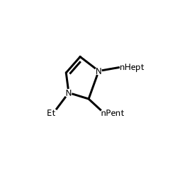 CCCCCCCN1C=CN(CC)C1CCCCC